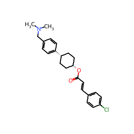 CN(C)Cc1ccc([C@H]2CC[C@@H](OC(=O)C=Cc3ccc(Cl)cc3)CC2)cc1